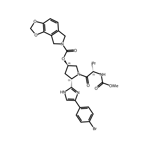 COC(=O)N[C@H](C(=O)N1C[C@H](OC(=O)N2Cc3ccc4c(c3C2)OCO4)C[C@H]1c1nc(-c2ccc(Br)cc2)c[nH]1)C(C)C